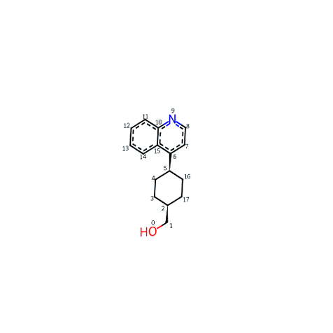 OC[C@H]1CC[C@@H](c2ccnc3ccccc32)CC1